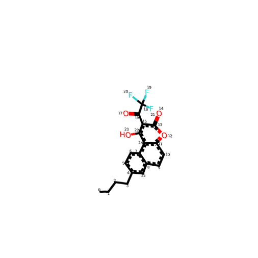 CCCCc1ccc2c(ccc3oc(=O)c(C(=O)C(F)(F)F)c(O)c32)c1